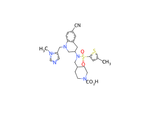 Cc1csc(S(=O)(=O)N(CC2CCN(C(=O)O)CC2)C2Cc3cc(C#N)ccc3N(Cc3cncn3C)C2)c1